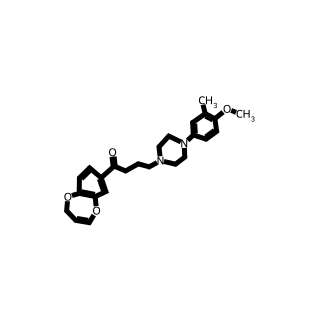 COc1ccc(N2CCN(CCCC(=O)c3ccc4c(c3)OC=CCO4)CC2)cc1C